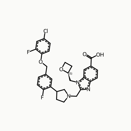 O=C(O)c1ccc2nc(CN3CCC(c4cc(COc5ccc(Cl)cc5F)ccc4F)C3)n(C[C@@H]3CCO3)c2c1